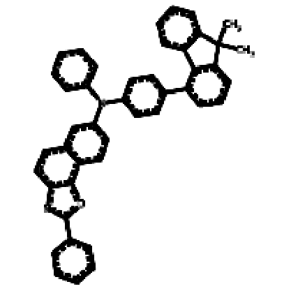 CC1(C)c2ccccc2-c2c(-c3ccc(N(c4ccccc4)c4ccc5c(ccc6nc(-c7ccccc7)oc65)c4)cc3)cccc21